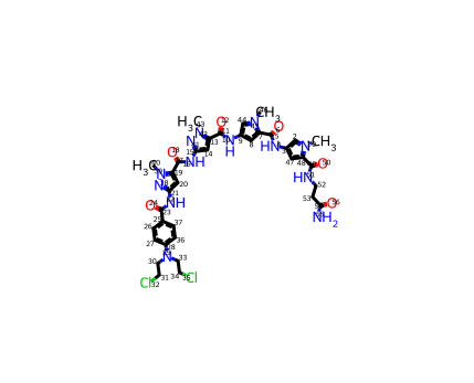 Cn1cc(NC(=O)c2cc(NC(=O)c3cc(NC(=O)c4cc(NC(=O)c5ccc(N(CCCl)CCCl)cc5)nn4C)nn3C)cn2C)cc1C(=O)NCCC(N)=O